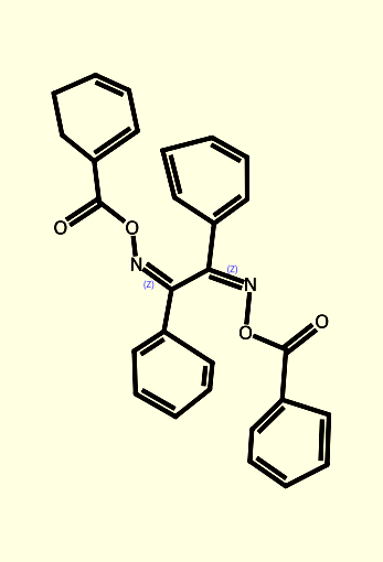 O=C(O/N=C(\C(=N/OC(=O)c1ccccc1)c1ccccc1)c1ccccc1)C1=CC=CCC1